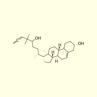 C=C=CC(C)(C)C(O)CC[C@@H](C)[C@H]1CC[C@H]2[C@@H]3CC=C4C[C@@H](O)CC[C@]4(C)[C@H]3CC[C@]12C